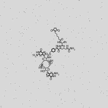 CC(C)C(NC(=O)CCCCCN1C(=O)C=CC1=O)C(=O)N[C@@H](CCCNC(N)=O)C(=O)Nc1ccc(COC(=O)NC2C3OP(=O)(S)OCC4OC(n5cnc6c(=O)[nH]c(N)nc65)C(O)C4OP(=O)(S)OCC3OC2n2cnc3c(=O)[nH]c(N)nc32)cc1